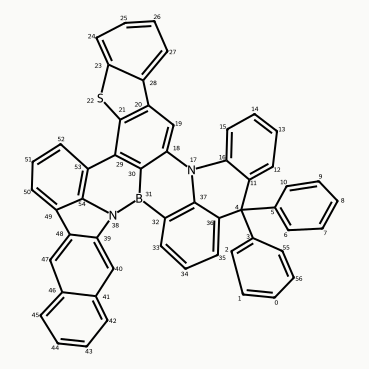 c1ccc(C2(c3ccccc3)c3ccccc3N3c4cc5c(sc6ccccc65)c5c4B(c4cccc2c43)n2c3cc4ccccc4cc3c3cccc-5c32)cc1